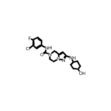 O=C(Nc1ccc(F)c(Cl)c1)N1CCn2nc(NC3CCC(O)CC3)cc2C1